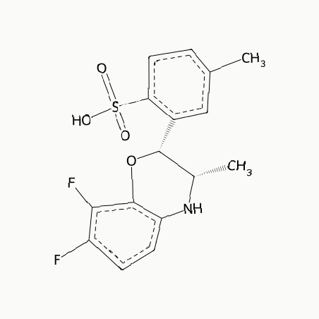 Cc1ccc(S(=O)(=O)O)c([C@H]2Oc3c(ccc(F)c3F)N[C@H]2C)c1